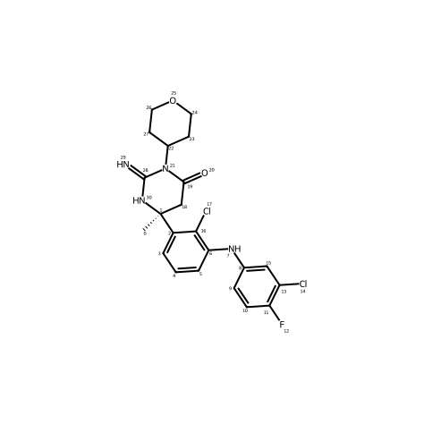 C[C@@]1(c2cccc(Nc3ccc(F)c(Cl)c3)c2Cl)CC(=O)N(C2CCOCC2)C(=N)N1